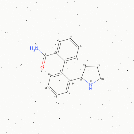 NC(=O)c1ccccc1-c1ccccc1C1CCCN1